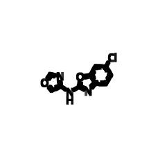 Clc1ccc2nc(Nc3cocn3)oc2c1